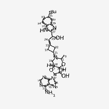 CC1O[C@H]2[C@@H](O)[C@H](n3cnc4c(N)ncnc43)O[C@@H]2CN1C1CC(=CC(O)c2nc3cc(C(C)(C)C)ccc3[nH]2)C1